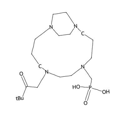 CC(C)(C)C(=O)CN1CCCN2CCN(CCCN(CP(=O)(O)O)CC1)CC2